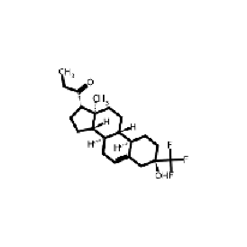 CCC(=O)[C@H]1CC[C@H]2[C@@H]3CC=C4C[C@@](O)(C(F)(F)F)CC[C@@H]4[C@H]3CC[C@]12C